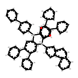 c1ccc(-c2ccc(N(c3ccc(-c4ccccc4)cc3)c3cc(-c4ccccc4)c(-c4ccccc4)cc3N(c3ccc(-c4ccccc4)cc3)c3ccc4c(ccc5ccccc54)c3)cc2)cc1